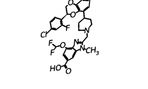 Cn1c(CN2CCC(c3cccc4c3O[C@@H](c3ccc(Cl)cc3F)CO4)CC2)nc2c(OC(F)F)cc(C(=O)O)cc21